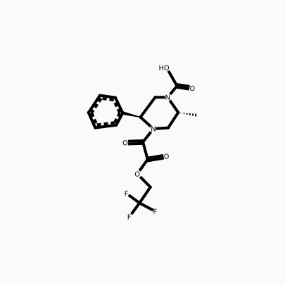 C[C@@H]1CN(C(=O)C(=O)OCC(F)(F)F)[C@@H](c2ccccc2)CN1C(=O)O